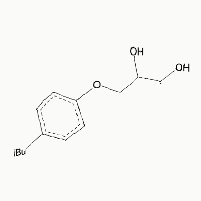 CCC(C)c1ccc(OCC(O)[CH]O)cc1